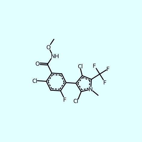 CONC(=O)c1cc(-c2c(Cl)c(C(F)(F)F)n(C)c2Cl)c(F)cc1Cl